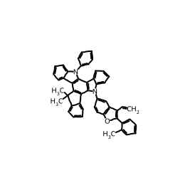 C=Cc1c(-c2ccccc2C)oc2ccc(-n3c4ccccc4c4c3c3c(c5c6ccccc6n(-c6ccccc6)c54)C(C)(C)c4ccccc4-3)cc12